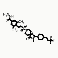 Cc1cc(C(=O)NN)cc(C)c1C=CS(=O)(=O)N1CCC2(CC1)N=C(C1CCC(CCC(F)(F)F)CC1)NC2=O